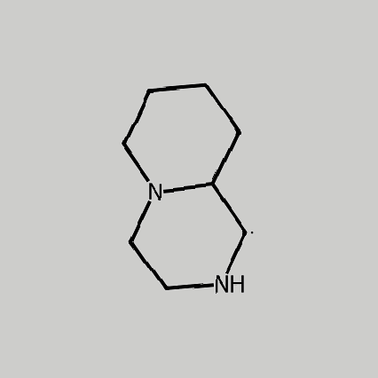 [CH]1NCCN2CCCCC12